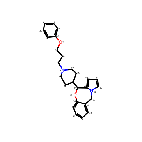 c1ccc(OCCCN2CCC(C3Oc4ccccc4Cn4cccc43)CC2)cc1